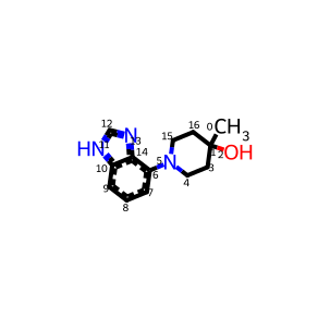 CC1(O)CCN(c2cccc3[nH]cnc23)CC1